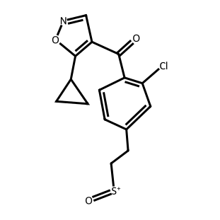 O=[S+]CCc1ccc(C(=O)c2cnoc2C2CC2)c(Cl)c1